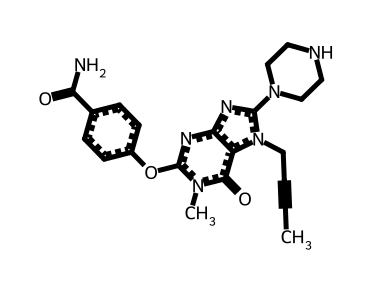 CC#CCn1c(N2CCNCC2)nc2nc(Oc3ccc(C(N)=O)cc3)n(C)c(=O)c21